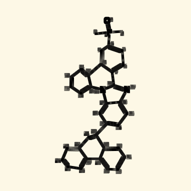 CP(C)(=O)c1ccc2c(c1)c1ccccc1n1c3cc(-c4cc5ccccc5c5ccccc45)ccc3nc21